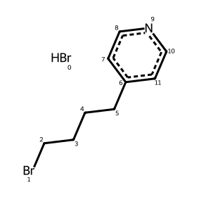 Br.BrCCCCc1ccncc1